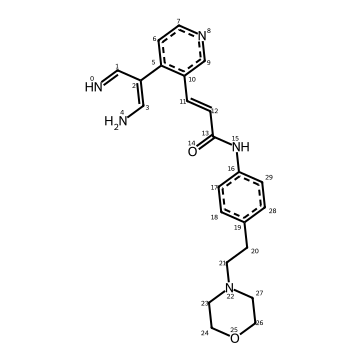 N=C/C(=C\N)c1ccncc1/C=C/C(=O)Nc1ccc(CCN2CCOCC2)cc1